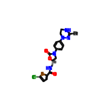 CCC1=NN(c2ccc(N3C[C@H](CNC(=O)c4ccc(Cl)s4)OC3=O)cc2)CCN1